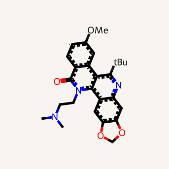 COc1[c]cc2c(=O)n(CCN(C)C)c3c4cc5c(cc4nc(C(C)(C)C)c3c2c1)OCO5